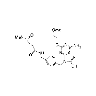 CNC(=O)CCC(=O)NCc1ccc(Cn2c(O)nc3c(N)nc(OCCOC)nc32)cc1